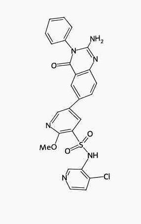 COc1ncc(-c2ccc3nc(N)n(-c4ccccc4)c(=O)c3c2)cc1S(=O)(=O)Nc1cnccc1Cl